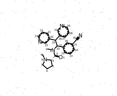 CN(C(=O)[C@@H]1CCCN1C)C(c1cccc(C#N)c1)C(c1cccnc1)c1cccnc1